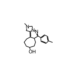 Cc1ccc(C2=NN3CN(C)CC3=C3CCCC(O)CCC23)cc1